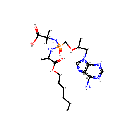 CCCCCCOC(=O)C(C)NP(=O)(COC(C)Cn1cnc2c(N)ncnc21)NC(C)(C)C(=O)O